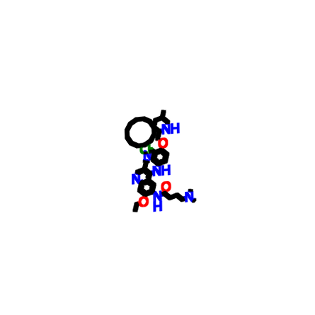 CCOc1cc2ncc(C#N)c(Nc3ccc(OCC4NCC(C)CC45CCCCCCCCCCC5)c(Cl)c3)c2cc1NC(=O)CCCN(C)C